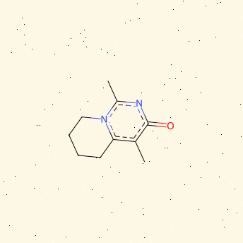 Cc1c2n(c(C)nc1=O)CCCC2